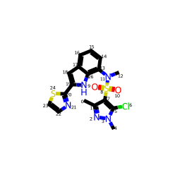 Cc1nn(C)c(Cl)c1S(=O)(=O)N(C)c1cccc2cc(-c3nccs3)[nH]c12